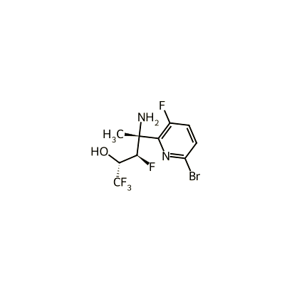 C[C@@](N)(c1nc(Br)ccc1F)[C@@H](F)[C@@H](O)C(F)(F)F